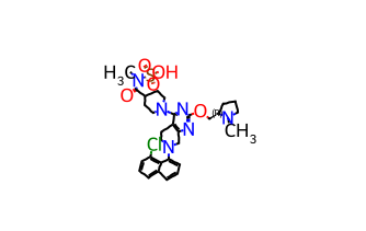 CN1CCC[C@@H]1COc1nc2c(c(N3CCC(C(=O)N(C)S(=O)(=O)O)CC3)n1)CCN(c1cccc3cccc(Cl)c13)C2